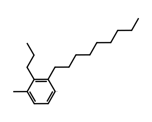 CCCCCCCCCc1[c]ccc(C)c1CCC